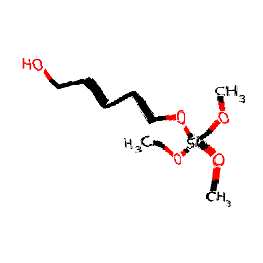 CO[Si](OC)(OC)OCCC=CCO